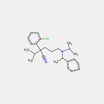 CC(C)N(CCCC(C#N)(c1ccccc1Cl)C(C)C)C(C)c1ccccc1